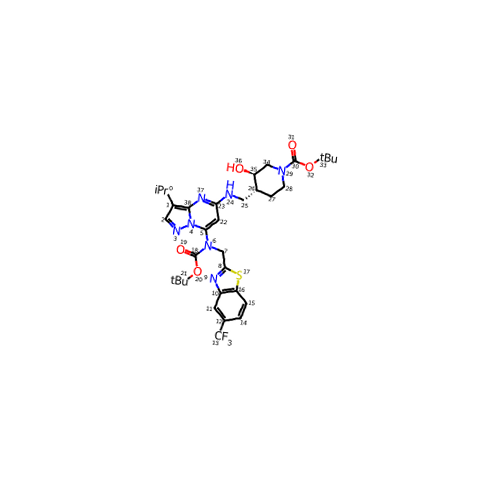 CC(C)c1cnn2c(N(Cc3nc4cc(C(F)(F)F)ccc4s3)C(=O)OC(C)(C)C)cc(NC[C@H]3CCN(C(=O)OC(C)(C)C)C[C@@H]3O)nc12